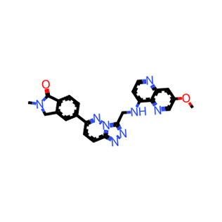 COc1cnc2c(NCc3nnc4ccc(-c5ccc6c(c5)CN(C)C6=O)nn34)ccnc2c1